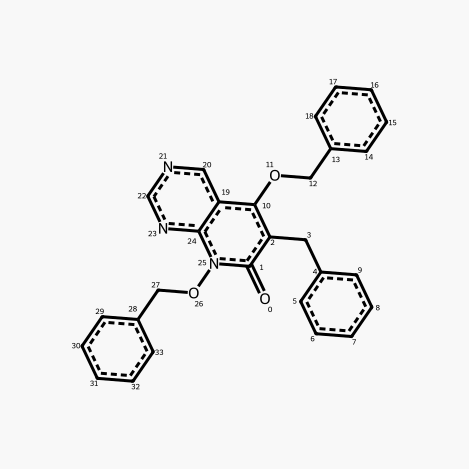 O=c1c(Cc2ccccc2)c(OCc2ccccc2)c2cncnc2n1OCc1ccccc1